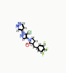 O=C1C(Cc2cc(F)c(F)c(F)c2)CCN1c1cnn(-c2ccnnc2)c1Cl